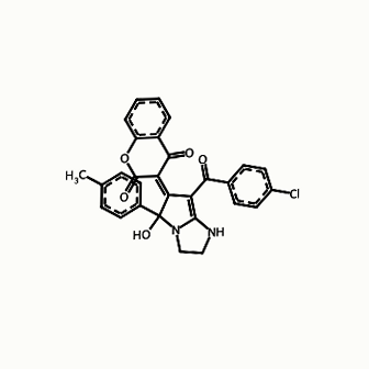 Cc1ccc(C2(O)C(=C3C(=O)Oc4ccccc4C3=O)C(C(=O)c3ccc(Cl)cc3)=C3NCCN32)cc1